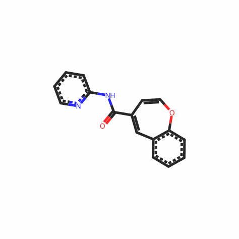 O=C(Nc1ccccn1)C1=Cc2ccccc2OC=C1